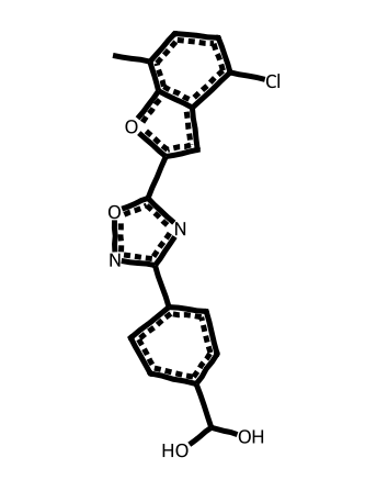 Cc1ccc(Cl)c2cc(-c3nc(-c4ccc(C(O)O)cc4)no3)oc12